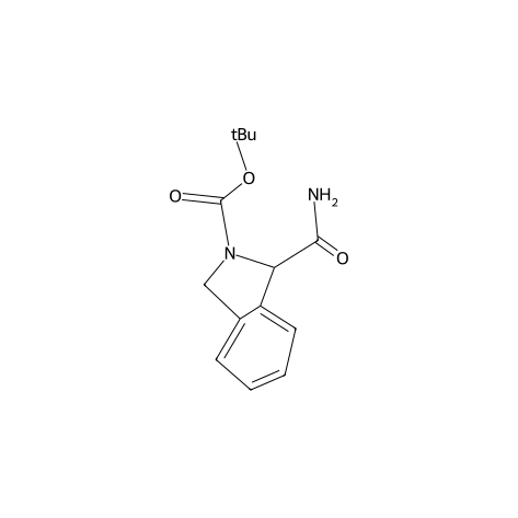 CC(C)(C)OC(=O)N1Cc2ccccc2C1C(N)=O